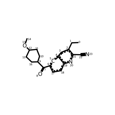 CCc1cc2cc(C(=O)C3CCC(OC)CC3)ccc2nc1C#N